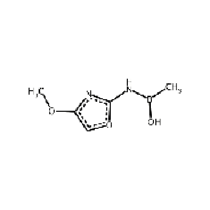 COc1coc(NB(C)O)n1